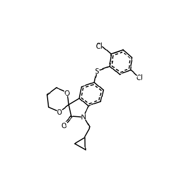 O=C1N(CC2CC2)c2ccc(Sc3cc(Cl)ccc3Cl)cc2C12OCCCO2